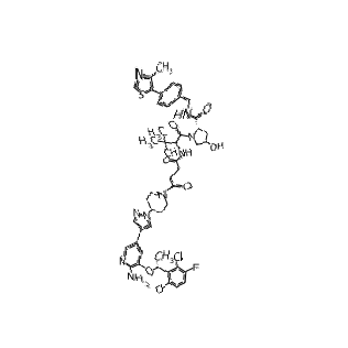 Cc1ncsc1-c1ccc(CNC(=O)[C@@H]2C[C@@H](O)CN2C(=O)[C@@H](NC(=O)CCC(=O)N2CCC(n3cc(-c4cnc(N)c(O[C@H](C)c5c(Cl)ccc(F)c5Cl)c4)cn3)CC2)C(C)(C)C)cc1